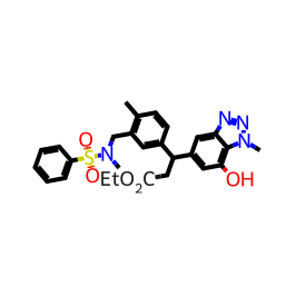 CCOC(=O)CC(c1ccc(C)c(CN(C)S(=O)(=O)c2ccccc2)c1)c1cc(O)c2c(c1)nnn2C